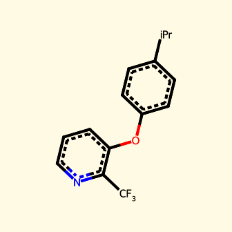 CC(C)c1ccc(Oc2cccnc2C(F)(F)F)cc1